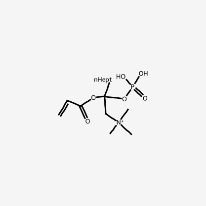 C=CC(=O)OC(CCCCCCC)(C[N+](C)(C)C)OP(=O)(O)O